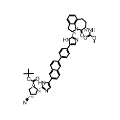 COC(=O)N[C@H]1CCc2cccc3c2N(C1=O)[C@H](c1ncc(-c2ccc(-c4ccc5cc(-c6cnc([C@@H]7C[C@H](C#N)CN7C(=O)OC(C)(C)C)[nH]6)ccc5c4)cc2)[nH]1)C3